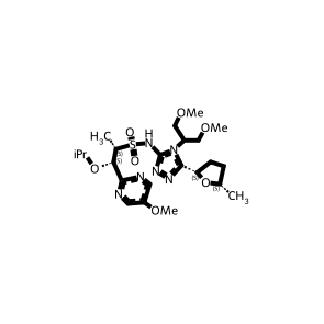 COCC(COC)n1c(NS(=O)(=O)[C@@H](C)[C@@H](OC(C)C)c2ncc(OC)cn2)nnc1[C@@H]1CC[C@H](C)O1